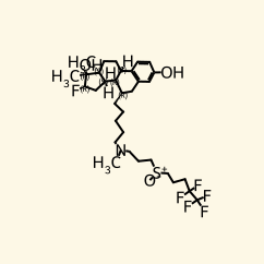 CN(CCCCC[C@@H]1Cc2cc(O)ccc2[C@H]2CC[C@@]3(C)[C@@H](C[C@@H](F)[C@]3(C)O)[C@H]12)CCC[S+]([O-])CCCC(F)(F)C(F)(F)F